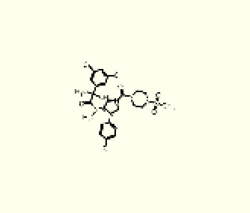 CN(C(=O)C(C)(C)c1cc(Cl)cc(Cl)c1)[C@@H]1CN(C(=O)N2CCN(S(C)(=O)=O)CC2)C[C@H]1c1ccc(Cl)cc1